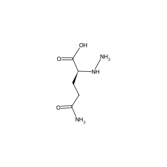 NN[C@@H](CCC(N)=O)C(=O)O